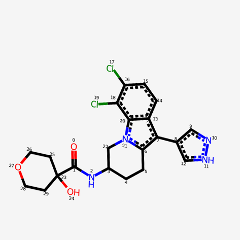 O=C(NC1CCc2c(-c3cn[nH]c3)c3ccc(Cl)c(Cl)c3n2C1)C1(O)CCOCC1